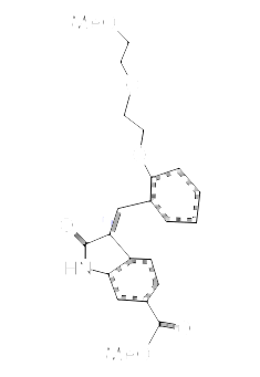 COCCOCCOc1ccccc1/C=C1/C(=O)Nc2cc(C(=O)OC)ccc21